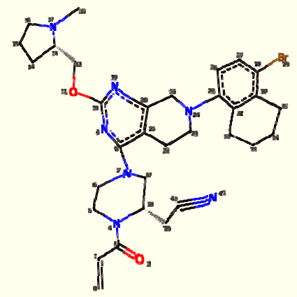 C=CC(=O)N1CCN(c2nc(OC[C@@H]3CCCN3C)nc3c2CCN(c2ccc(Br)c4c2CCCC4)C3)C[C@@H]1CC#N